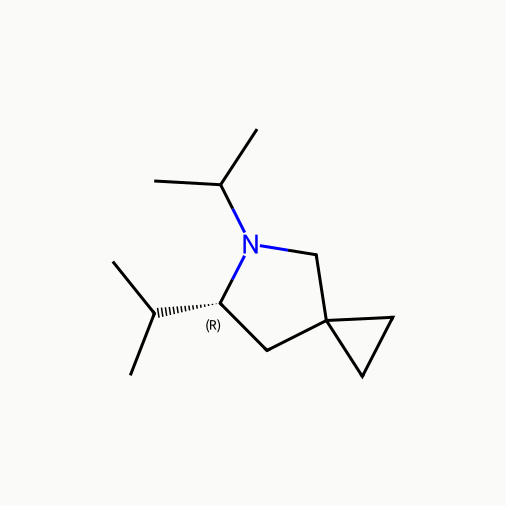 CC(C)[C@H]1CC2(CC2)CN1C(C)C